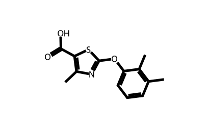 Cc1cccc(Oc2nc(C)c(C(=O)O)s2)c1C